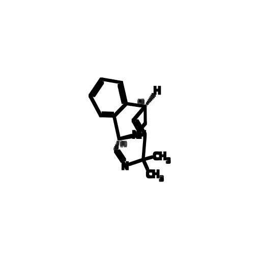 CC1(C)N=C[C@]23NC[C@@H](C=C12)c1ccccc13